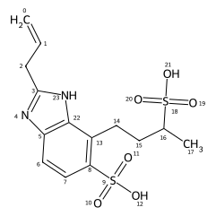 C=CCc1nc2ccc(S(=O)(=O)O)c(CCC(C)S(=O)(=O)O)c2[nH]1